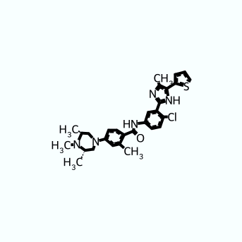 Cc1cc(N2C[C@@H](C)N(C)[C@@H](C)C2)ccc1C(=O)Nc1ccc(Cl)c(-c2nc(C)c(-c3cccs3)[nH]2)c1